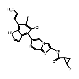 C/C=C/c1c(F)c(Cl)c(-c2cn3cc(NC(=O)C4CC4F)nc3cn2)c2cn[nH]c12